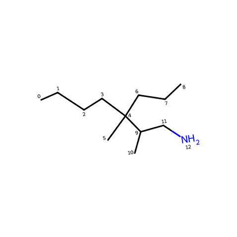 CCCCC(C)(CCC)C(C)CN